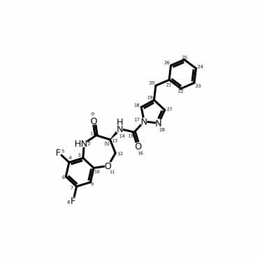 O=C1Nc2c(F)cc(F)cc2OC[C@@H]1NC(=O)n1cc(Cc2ccccc2)cn1